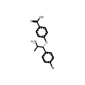 CC(N)[C@H](Oc1ccc(C(=O)O)cc1)c1ccc(Br)cc1